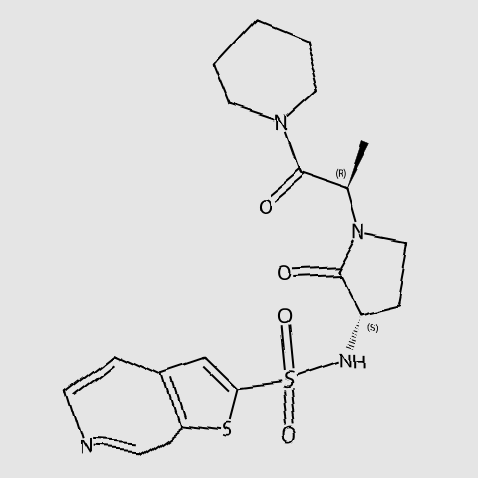 C[C@H](C(=O)N1CCCCC1)N1CC[C@H](NS(=O)(=O)c2cc3ccncc3s2)C1=O